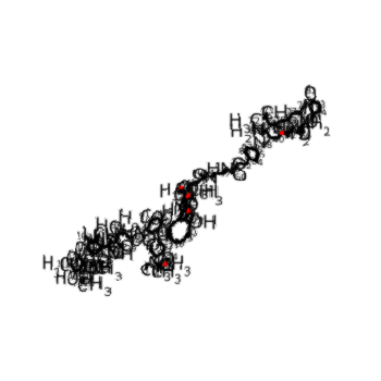 CCN(C(C)=O)[C@H]1CO[C@@H](O[C@H]2[C@H](O[C@H]3C#C/C=C\C#C[C@]4(O)CC(=O)C(NC(=O)OC)=C3/C4=C\CSSC(C)(C)CCC(=O)NCCNC(=O)OCc3ccc(NC[C@H](CCCNC(N)=O)C(N)[C@@H](C(C)C)C(N)CCCCCN4C(=O)C=CC4=O)cc3)O[C@H](C)[C@@H](NO[C@H]3C[C@H](O)[C@H]([SH]=C(O)c4c(C)c(I)c(O[C@@H]5O[C@@H](C)[C@H](O)[C@@H](OC)[C@H]5O)c(OC)c4OC)[C@@H](C)O3)[C@H]2O)C[C@@H]1OC